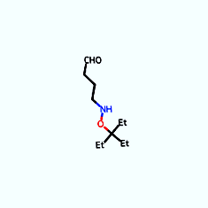 CCC(CC)(CC)ONCCCC=O